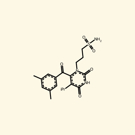 Cc1cc(C)cc(C(=O)c2c(C(C)C)c(=O)[nH]c(=O)n2CCCS(N)(=O)=O)c1